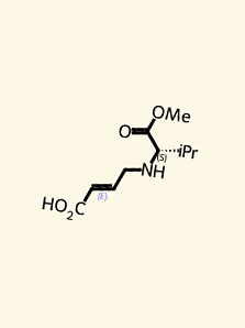 COC(=O)[C@@H](NC/C=C/C(=O)O)C(C)C